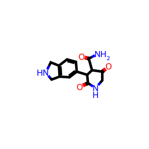 NC(=O)C1C(=O)CNC(=O)C1c1ccc2c(c1)CNC2